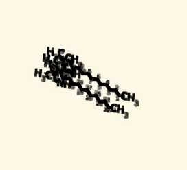 CCCCCCCCCCCC1=NC(C)(C(C)(C)C)CN1.CCCCCCCCCCCC1=NC(C)(C)CN1